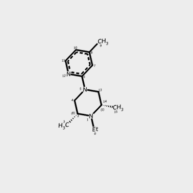 CCN1[C@H](C)CN(c2cc(C)ccn2)C[C@@H]1C